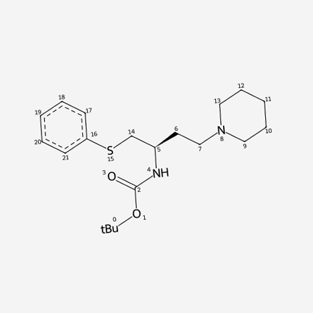 CC(C)(C)OC(=O)N[C@H](CCN1CCCCC1)CSc1ccccc1